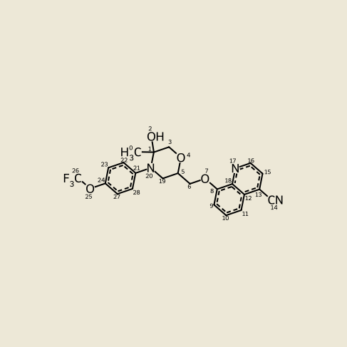 CC1(O)COC(COc2cccc3c(C#N)ccnc23)CN1c1ccc(OC(F)(F)F)cc1